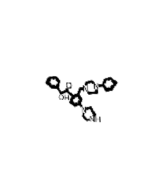 O=C(c1ccc(N2CCNCC2)cc1CN1CCN(c2ccccc2)CC1)C(O)c1ccccc1